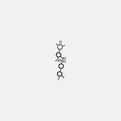 COc1ccc(N2CC(C)NC(C)C2)cc1NS(=O)(=O)c1ccc(-c2ccc(F)c(F)c2)cc1